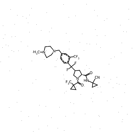 CN1CCN(Cc2ccc(C(F)(F)C3C[C@@H](C(=O)NC4(C#N)CC4)N(C(=O)C4(C(F)(F)F)CC4)C3)c(C(F)(F)F)c2)CC1